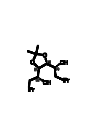 CC(C)C[C@@H](O)[C@H]1OC(C)(C)O[C@@H]1[C@H](O)CC(C)C